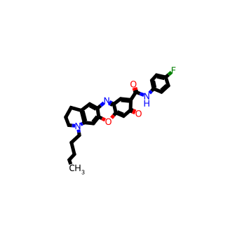 CCCCCN1CCCc2cc3nc4cc(C(=O)Nc5ccc(F)cc5)c(=O)cc-4oc3cc21